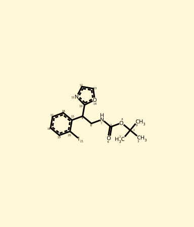 CC(C)(C)OC(=O)NCC(c1ncco1)c1ccccc1I